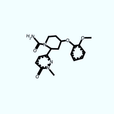 COc1ccccc1OC1CCN(C(N)=O)C(c2ccc(=O)n(C)n2)C1